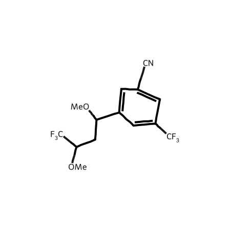 COC(CC(OC)C(F)(F)F)c1cc(C#N)cc(C(F)(F)F)c1